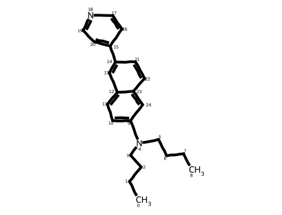 CCCCN(CCCC)c1ccc2cc(-c3ccncc3)ccc2c1